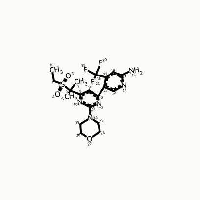 CCS(=O)(=O)C(C)(C)c1cc(-c2cnc(N)cc2C(F)(F)F)nc(N2CCOCC2)n1